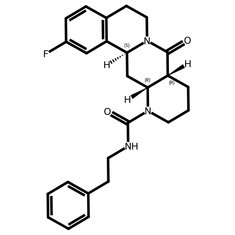 O=C(NCCc1ccccc1)N1CCC[C@H]2C(=O)N3CCc4ccc(F)cc4[C@@H]3C[C@H]21